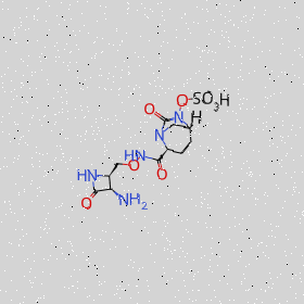 N[C@H]1C(=O)N[C@H]1CONC(=O)[C@@H]1CC[C@@H]2CN1C(=O)N2OS(=O)(=O)O